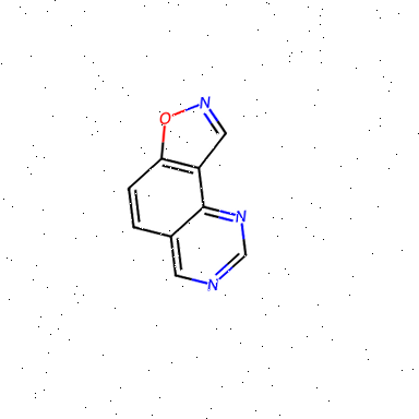 c1ncc2ccc3oncc3c2n1